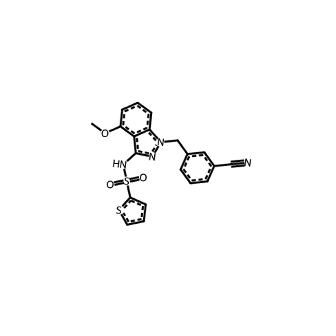 COc1cccc2c1c(NS(=O)(=O)c1cccs1)nn2Cc1cccc(C#N)c1